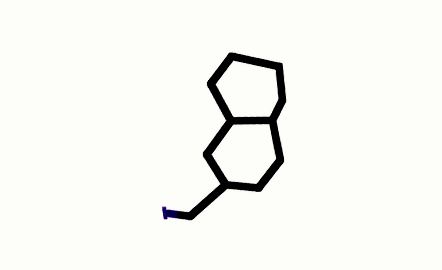 ICC1CCC2CCCCC2C1